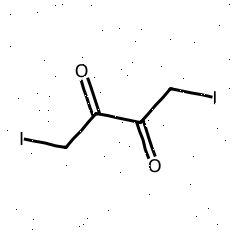 O=C(CI)C(=O)CI